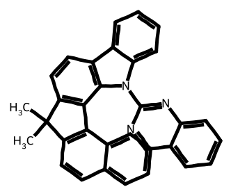 CC1(C)c2ccc3ccccc3c2-c2c1ccc1c3ccccc3n(-c3ncc4ccccc4n3)c21